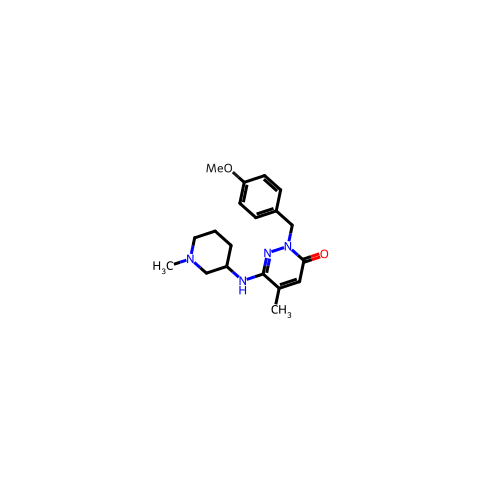 COc1ccc(Cn2nc(NC3CCCN(C)C3)c(C)cc2=O)cc1